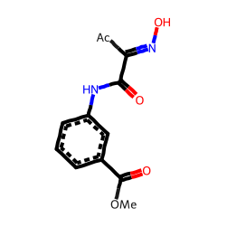 COC(=O)c1cccc(NC(=O)/C(=N/O)C(C)=O)c1